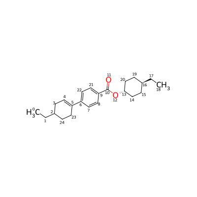 CCC1CC=C(c2ccc(C(=O)O[C@H]3CC[C@H](CC)CC3)cc2)CC1